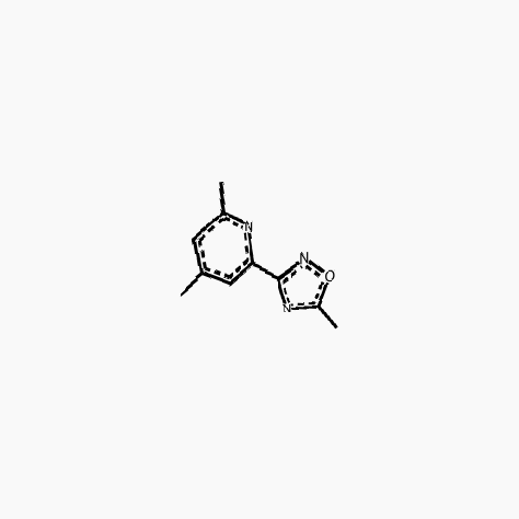 Cc1cc(C)nc(-c2noc(C)n2)c1